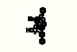 CC(C)CO[C@@H](CN(CC(C)C)C(=O)N[C@H](C(=O)O)C(Cc1ccccc1)c1ccc(-c2ccccc2)cc1)C(=O)OCc1ccccc1